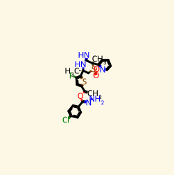 C=C(O/C(=N\N)c1ccc(Cl)cc1)c1cc(F)c([C@]2(C)CS(=O)(=O)[C@@](C)(c3ccccn3)C(=N)N2)s1